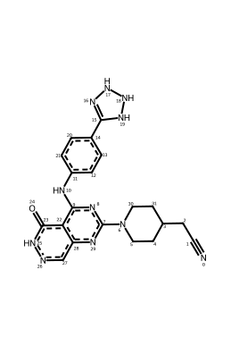 N#CCC1CCN(c2nc(Nc3ccc(C4=NNNN4)cc3)c3c(=O)[nH]ncc3n2)CC1